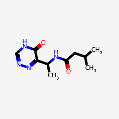 CC(C)CC(=O)NC(C)c1nnc[nH]c1=O